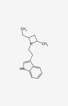 CCC1CC(C)N1CCc1c[nH]c2ccccc12